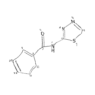 O=C(Nc1nncs1)c1ccccc1